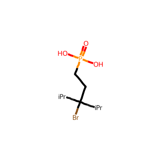 CC(C)C(Br)(CCP(=O)(O)O)C(C)C